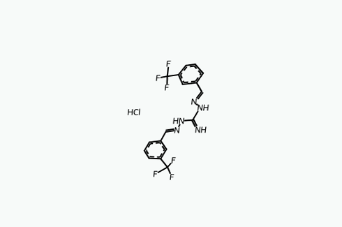 Cl.N=C(NN=Cc1cccc(C(F)(F)F)c1)NN=Cc1cccc(C(F)(F)F)c1